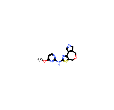 COc1ccnc(Nc2nc3c(s2)COCC2=C3C=NC2)n1